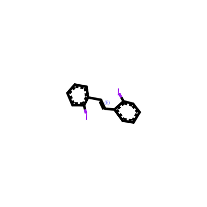 Ic1ccccc1/C=C/c1ccccc1I